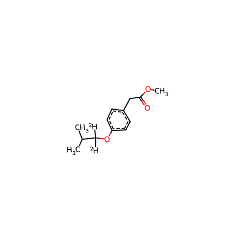 [2H]C([2H])(Oc1ccc(CC(=O)OC)cc1)C(C)C